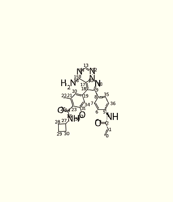 C=CC(=O)Nc1ccc(-c2nn3ncnc(N)c3c2-c2cc(C)c(C(=O)NC3CCC3)c(OC)c2)cc1